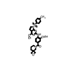 CCOc1nc(Nc2ccc(C(=O)N3CCCC4(COC4)C3)cc2OC)nc2c1ccn2S(=O)(=O)c1ccc(C)cc1